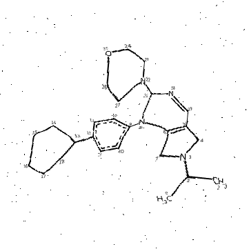 CC(C)N1CC2=C(C1)N(c1ccc(C3CCCCC3)cc1)C(N1CCOCC1)N=C2